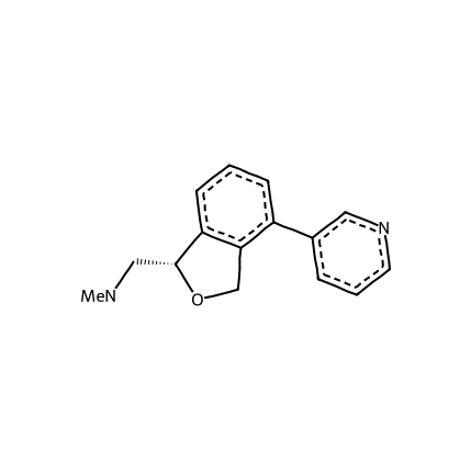 CNC[C@H]1OCc2c(-c3cccnc3)cccc21